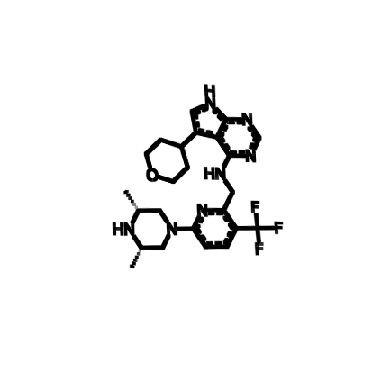 C[C@@H]1CN(c2ccc(C(F)(F)F)c(CNc3ncnc4[nH]cc(C5CCOCC5)c34)n2)C[C@H](C)N1